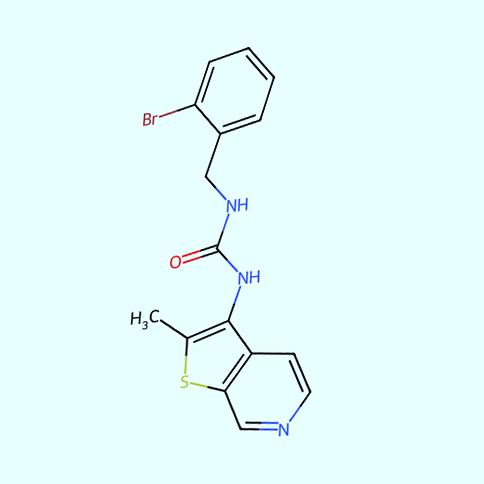 Cc1sc2cnccc2c1NC(=O)NCc1ccccc1Br